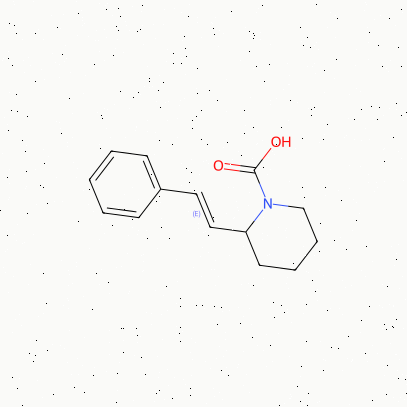 O=C(O)N1CCCCC1/C=C/c1ccccc1